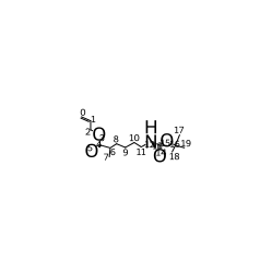 C=CCOC(=O)C(C)CCCCNC(=O)OC(C)(C)C